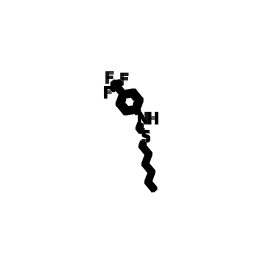 CCCCCCSCNc1ccc(C(F)(F)F)cc1